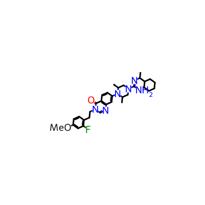 COc1ccc(CCn2cnc3cc(N4C(C)CN(C(N)=NC(C)C5CCCCC5)CC4C)ccc3c2=O)c(F)c1